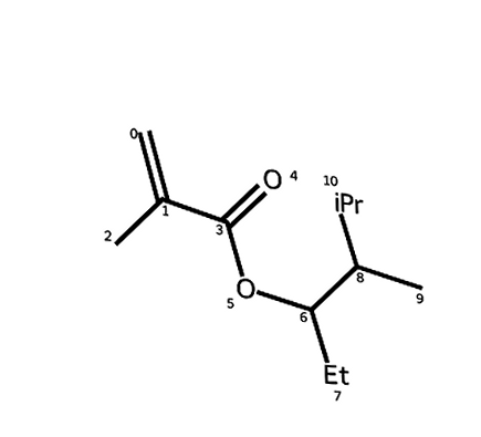 C=C(C)C(=O)OC(CC)C(C)C(C)C